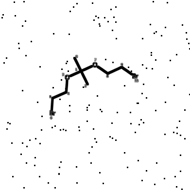 CC(C)(OCCBr)OCCBr